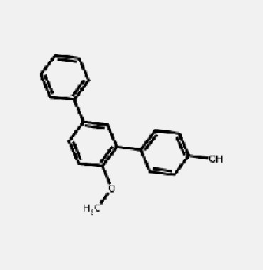 COc1ccc(-c2ccccc2)cc1-c1ccc(O)cc1